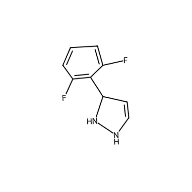 Fc1cccc(F)c1C1C=CNN1